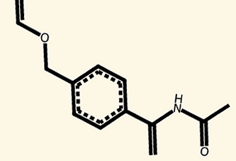 C=C(NC(C)=O)c1ccc(COC=O)cc1